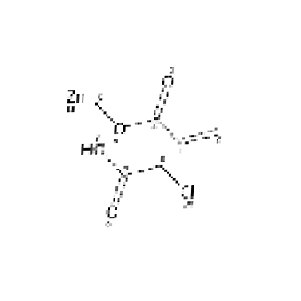 C=CC(=O)OC.O=C(O)CCl.[Zn]